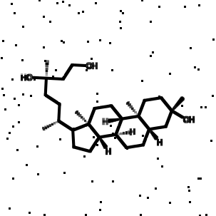 C[C@H](CC[C@@](C)(O)CCO)C1CC[C@H]2[C@@H]3CC[C@H]4C[C@@](C)(O)CC[C@]4(C)[C@H]3CC[C@]12C